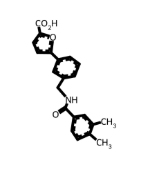 Cc1ccc(C(=O)NCc2cccc(-c3ccc(C(=O)O)o3)c2)cc1C